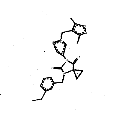 CCc1cccc(CN2C(=O)N(c3cnn(Cc4c(C)noc4C)c3)C(=O)C23CC3)c1